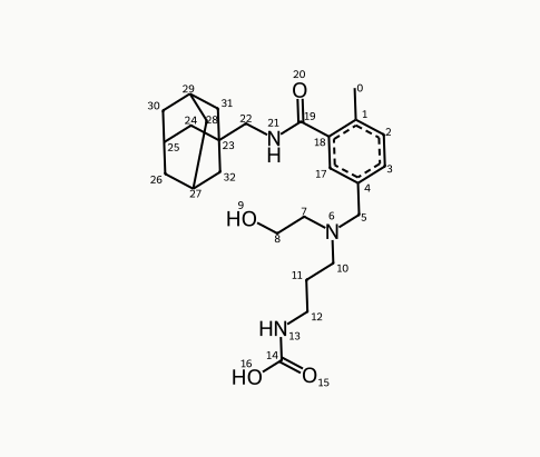 Cc1ccc(CN(CCO)CCCNC(=O)O)cc1C(=O)NCC12CC3CC(CC(C3)C1)C2